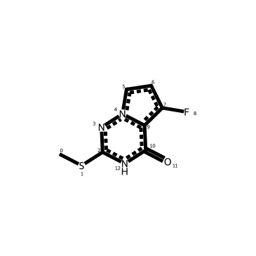 CSc1nn2ccc(F)c2c(=O)[nH]1